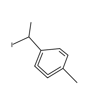 CC1=C=C=C(C(C)I)C=C1